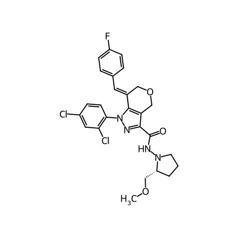 COC[C@H]1CCCN1NC(=O)c1nn(-c2ccc(Cl)cc2Cl)c2c1COC/C2=C\c1ccc(F)cc1